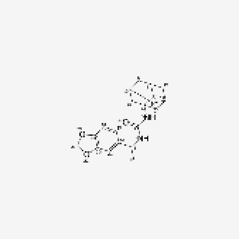 CC(NC(=O)NC12CC3CC(CC(C3)C1)C2)c1ccc2c(c1)OCO2